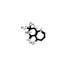 CC1CCC=NC2=C1C(=O)BC(C)(C)C2